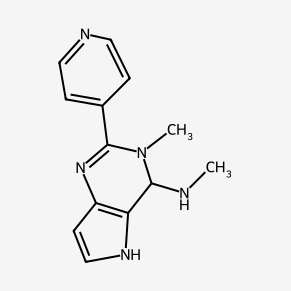 CNC1c2[nH]ccc2N=C(c2ccncc2)N1C